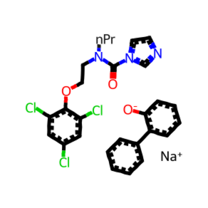 CCCN(CCOc1c(Cl)cc(Cl)cc1Cl)C(=O)n1ccnc1.[Na+].[O-]c1ccccc1-c1ccccc1